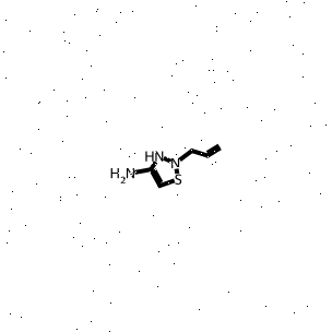 C=CCN1NC(N)=CS1